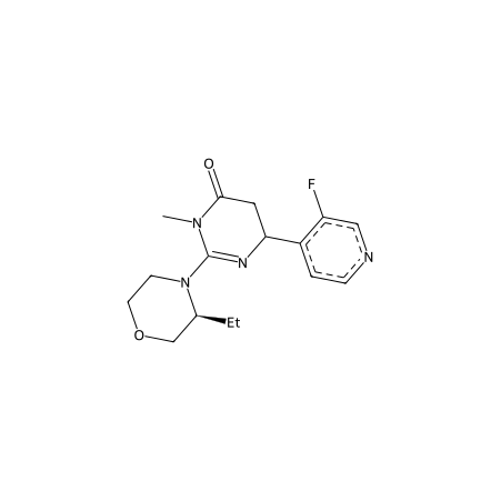 CC[C@H]1COCCN1C1=NC(c2ccncc2F)CC(=O)N1C